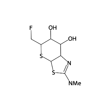 CNC1=NC2C(S1)SC(CF)C(O)C2O